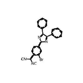 [C-]#[N+]C([N+]#[C-])=c1ccc(=C2N=C(c3ccccc3)C(c3ccccc3)=N2)cc1Br